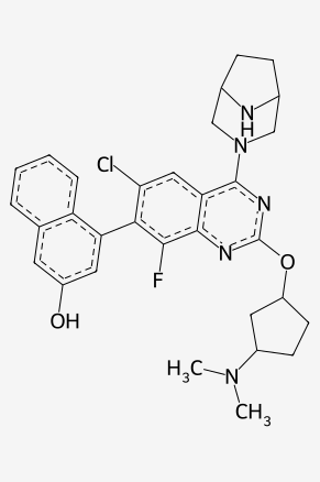 CN(C)C1CCC(Oc2nc(N3CC4CCC(C3)N4)c3cc(Cl)c(-c4cc(O)cc5ccccc45)c(F)c3n2)C1